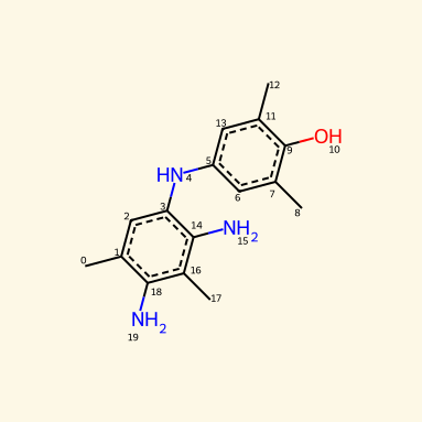 Cc1cc(Nc2cc(C)c(O)c(C)c2)c(N)c(C)c1N